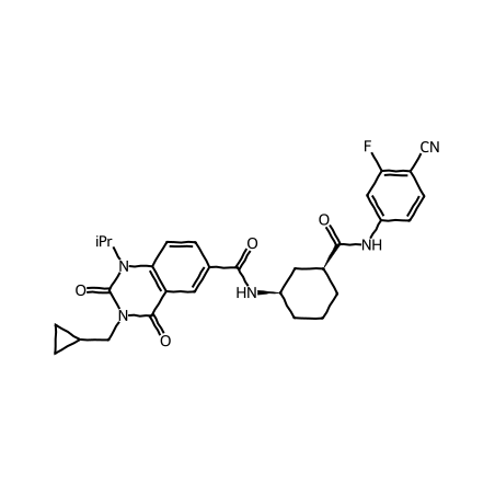 CC(C)n1c(=O)n(CC2CC2)c(=O)c2cc(C(=O)N[C@@H]3CCC[C@H](C(=O)Nc4ccc(C#N)c(F)c4)C3)ccc21